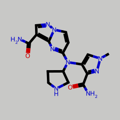 Cn1cc(N(c2ccn3ncc(C(N)=O)c3n2)C2CCNC2)c(C(N)=O)n1